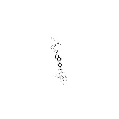 COC(=O)N[C@H](C(=O)N1CCC[C@H]1c1ncc(-c2ccc3cc(-c4ccc(-c5cnc([C@@H]6COCCN6C(=O)[C@@H](NC(=O)OC)C(C)C)[nH]5)cc4)ccc3c2)[nH]1)C(C)C